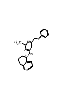 Cc1nc(CCc2ccccc2)cc(N[C@@H]2CCCc3ccccc32)n1